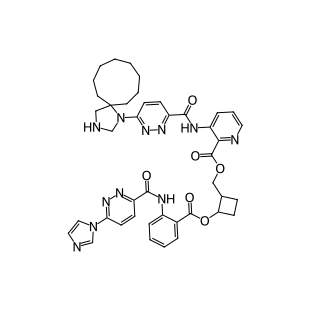 O=C(Nc1ccccc1C(=O)OC1CCC1COC(=O)c1ncccc1NC(=O)c1ccc(N2CNCC23CCCCCCCC3)nn1)c1ccc(-n2ccnc2)nn1